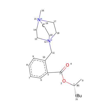 C[C@@H](OC(=O)c1ccccc1C[N+]12CC[N+](C)(CC1)CC2)C(C)(C)C